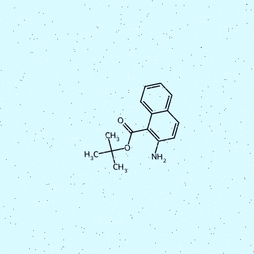 CC(C)(C)OC(=O)c1c(N)ccc2ccccc12